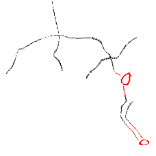 CCC(C)(C)CC(C)(C)OC=O